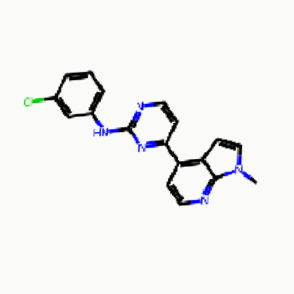 Cn1ccc2c(-c3ccnc(Nc4cccc(Cl)c4)n3)ccnc21